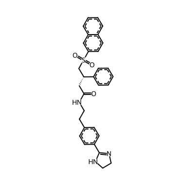 O=C(C[C@H](CS(=O)(=O)c1ccc2ccccc2c1)c1ccccc1)NCCc1ccc(C2=NCCN2)cc1